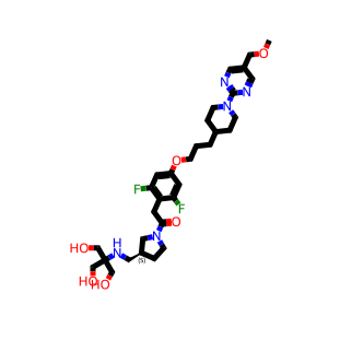 COCc1cnc(N2CCC(CCCOc3cc(F)c(CC(=O)N4CC[C@@H](CNC(CO)(CO)CO)C4)c(F)c3)CC2)nc1